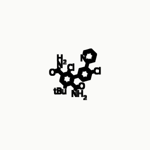 CC(C)(C)c1cc(C(N)=O)c(Cl)c(-c2ccc(Cl)c(-c3ccccn3)c2)c1C(N)=O